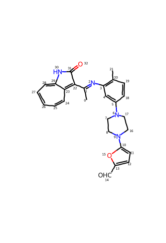 C/C(=N\c1cc(N2CCN(c3ccc(C=O)o3)CC2)ccc1C)c1c2cccccc-2[nH]c1=O